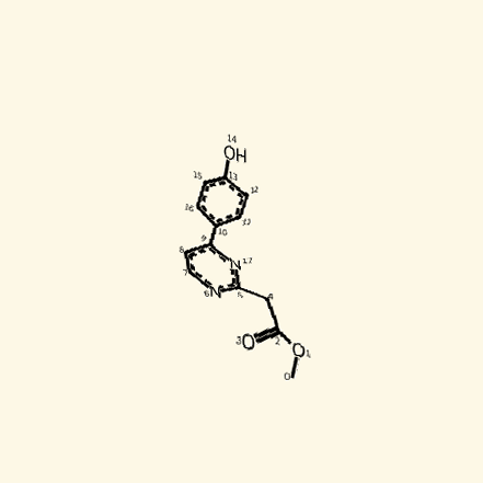 COC(=O)Cc1nccc(-c2ccc(O)cc2)n1